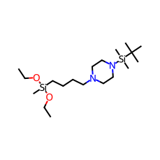 CCO[Si](C)(CCCCN1CCN([Si](C)(C)C(C)(C)C)CC1)OCC